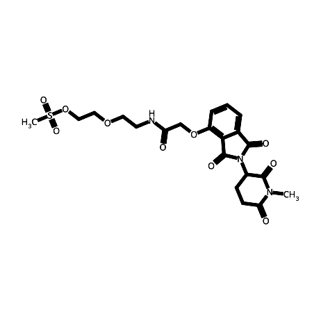 CN1C(=O)CCC(N2C(=O)c3cccc(OCC(=O)NCCOCCOS(C)(=O)=O)c3C2=O)C1=O